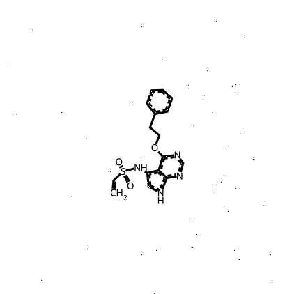 C=CS(=O)(=O)Nc1c[nH]c2ncnc(OCCc3ccccc3)c12